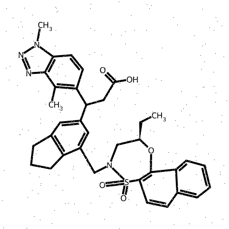 CC[C@@H]1CN(Cc2cc(C(CC(=O)O)c3ccc4c(nnn4C)c3C)cc3c2CCC3)S(=O)(=O)c2ccc3ccccc3c2O1